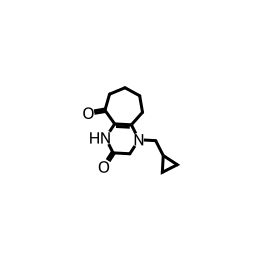 O=C1CN(CC2CC2)C2=C(N1)C(=O)CCCC2